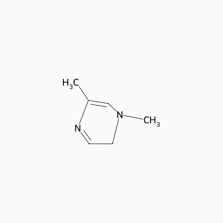 CC1=CN(C)CC=N1